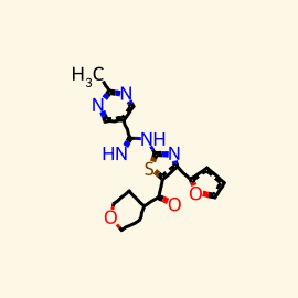 Cc1ncc(C(=N)Nc2nc(-c3ccco3)c(C(=O)C3CCOCC3)s2)cn1